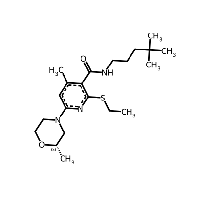 CCSc1nc(N2CCO[C@@H](C)C2)cc(C)c1C(=O)NCCCC(C)(C)C